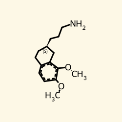 COc1ccc2c(c1OC)C[C@H](CCCN)CC2